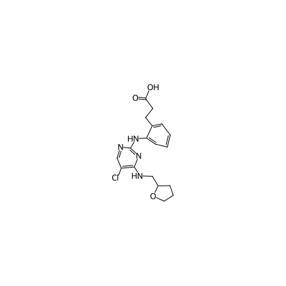 O=C(O)CCc1ccccc1Nc1ncc(Cl)c(NCC2CCCO2)n1